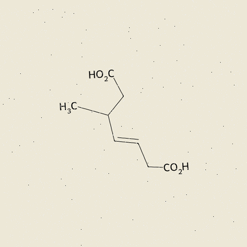 CC(C=CCC(=O)O)CC(=O)O